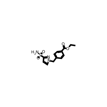 CCOC(=O)c1ccc(Cn2ccc(S(N)(=O)=O)n2)cc1